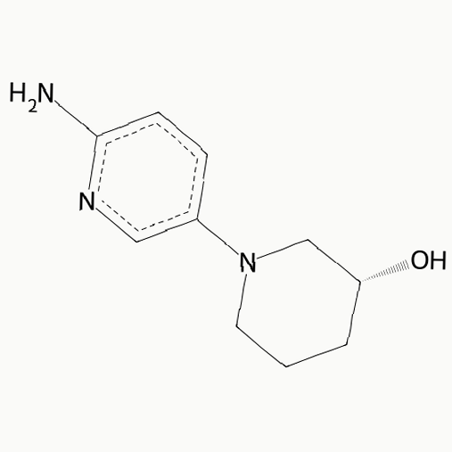 Nc1ccc(N2CCC[C@@H](O)C2)cn1